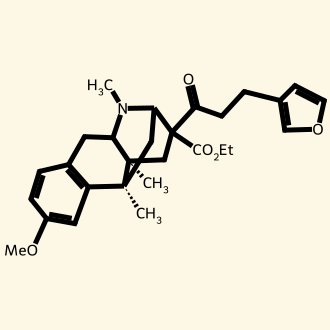 CCOC(=O)C1(C(=O)CCc2ccoc2)C[C@]2(C)C3Cc4ccc(OC)cc4[C@]2(C)CC1N3C